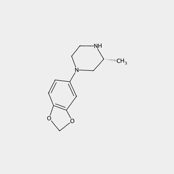 C[C@@H]1CN(c2ccc3c(c2)OCO3)CCN1